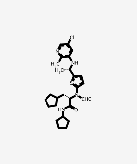 Cc1ncc(Cl)cc1N[C@@H](C)c1ccc(N(C=O)[C@@H](CC2CCCC2)C(=O)NC2CCCC2)s1